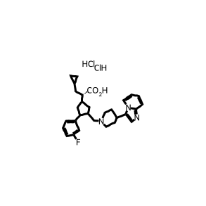 Cl.Cl.O=C(O)[C@@H](CC1CC1)C1CC(CN2CCC(c3cnc4ccccn34)CC2)C(c2cccc(F)c2)C1